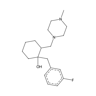 CN1CCN(CC2CCCCC2(O)Cc2cccc(F)c2)CC1